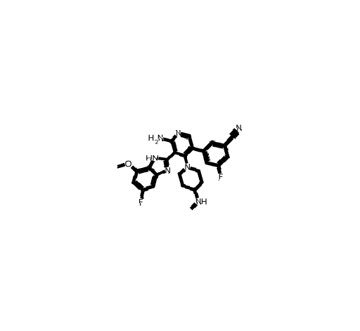 CNC1CCN(c2c(-c3cc(F)cc(C#N)c3)cnc(N)c2-c2nc3cc(F)cc(OC)c3[nH]2)CC1